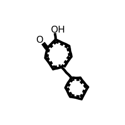 O=c1ccc(-c2ccccc2)ccc1O